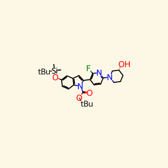 CC(C)(C)OC(=O)n1c(-c2ccc(N3CCC[C@@H](O)C3)nc2F)cc2cc(O[Si](C)(C)C(C)(C)C)ccc21